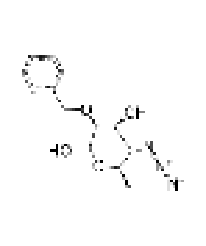 C[C@H]1O[C@H](O)[C@@H](OCc2ccccc2)[C@@H](O)[C@@H]1N=[N+]=[N-]